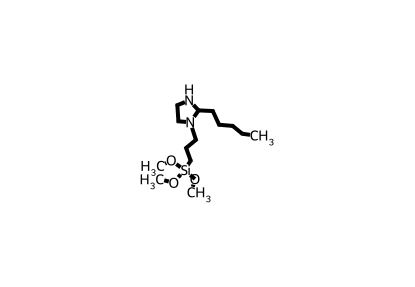 CCCCCC1NCCN1CCC[Si](OC)(OC)OC